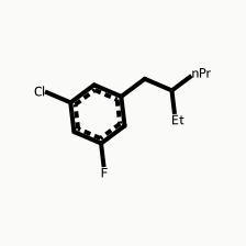 CCCC(CC)Cc1cc(F)cc(Cl)c1